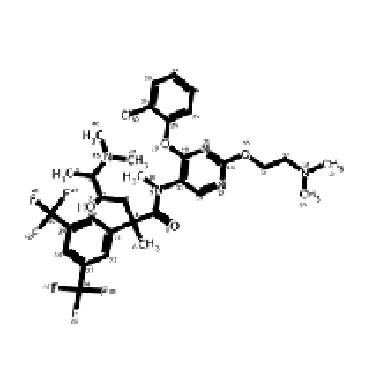 CC(C(O)CC(C)(C(=O)N(C)c1cnc(OCCN(C)C)nc1Oc1ccccc1Cl)c1cc(C(F)(F)F)cc(C(F)(F)F)c1)N(C)C